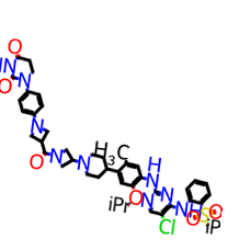 Cc1cc(Nc2ncc(Cl)c(Nc3ccccc3S(=O)(=O)C(C)C)n2)c(OC(C)C)cc1C1CCN(C2CN(C(=O)C3CN(c4ccc(N5CCC(=O)NC5=O)cc4)C3)C2)CC1